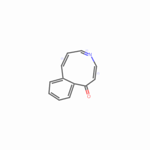 O=C1\C=C/N=C\C=C/c2ccccc21